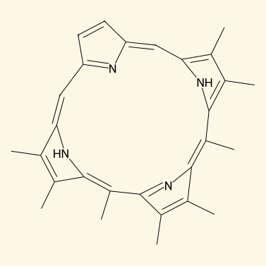 CC1=C(C)c2nc1c(C)c1[nH]c(cc3nc(cc4[nH]c(c2C)c(C)c4C)C=C3)c(C)c1C